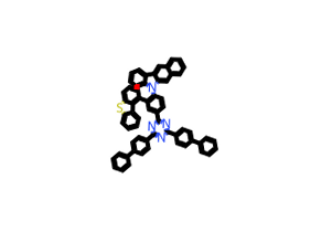 c1ccc(-c2ccc(-c3nc(-c4ccc(-c5ccccc5)cc4)nc(-c4ccc(-n5c6ccccc6c6cc7ccccc7cc65)c(-c5cccc6sc7ccccc7c56)c4)n3)cc2)cc1